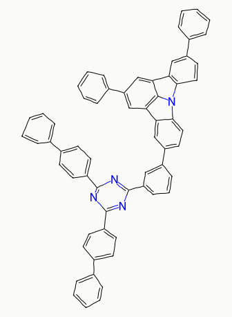 c1ccc(-c2ccc(-c3nc(-c4ccc(-c5ccccc5)cc4)nc(-c4cccc(-c5ccc6c(c5)c5cc(-c7ccccc7)cc7c8cc(-c9ccccc9)ccc8n6c75)c4)n3)cc2)cc1